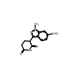 Cn1nc(C2CCC(=O)NC2=O)c2ccc(C=O)cc21